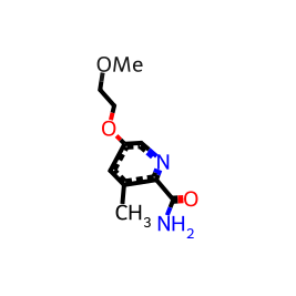 COCCOc1cnc(C(N)=O)c(C)c1